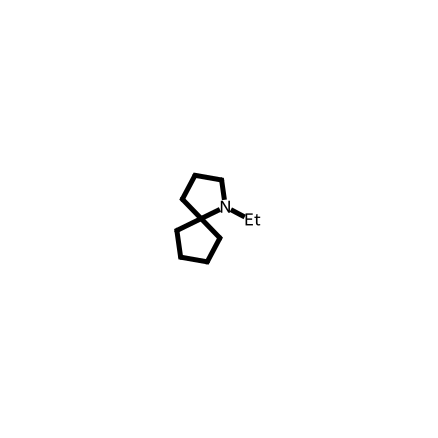 CCN1CCCC12CCCC2